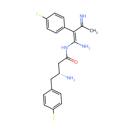 CC(=N)/C(=C(\N)NC(=O)C[C@H](N)Cc1ccc(F)cc1)c1ccc(F)cc1